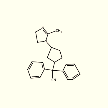 CC1=NCCN1C1CCC(C(C#N)(c2ccccc2)c2ccccc2)C1